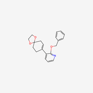 C1=C(c2cccnc2OCc2ccccc2)CCC2(C1)OCCO2